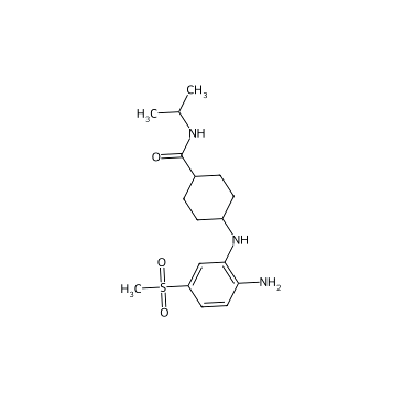 CC(C)NC(=O)C1CCC(Nc2cc(S(C)(=O)=O)ccc2N)CC1